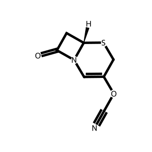 N#COC1=CN2C(=O)C[C@@H]2SC1